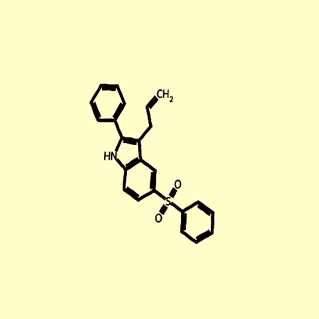 C=CCc1c(-c2ccccc2)[nH]c2ccc(S(=O)(=O)c3ccccc3)cc12